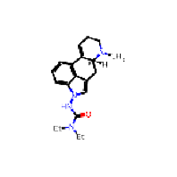 CCN(CC)C(=O)Nn1cc2c3c(cccc31)C1=CCCN(C)[C@@H]1C2